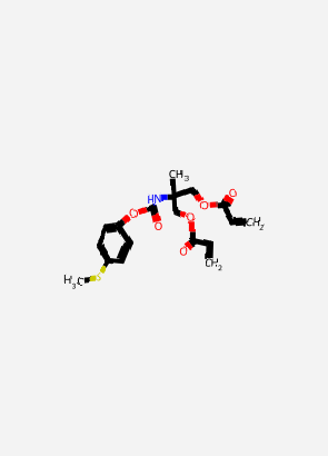 C=CC(=O)OCC(C)(COC(=O)C=C)NC(=O)Oc1ccc(SC)cc1